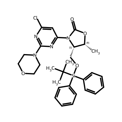 C[C@H]1OC(=O)N(c2cc(Cl)nc(N3CCOCC3)n2)[C@H]1CO[Si](c1ccccc1)(c1ccccc1)C(C)(C)C